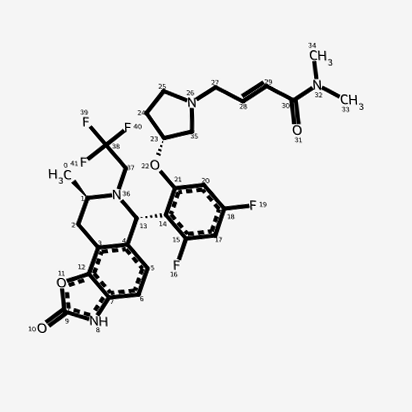 C[C@@H]1Cc2c(ccc3[nH]c(=O)oc23)[C@@H](c2c(F)cc(F)cc2O[C@@H]2CCN(C/C=C/C(=O)N(C)C)C2)N1CC(F)(F)F